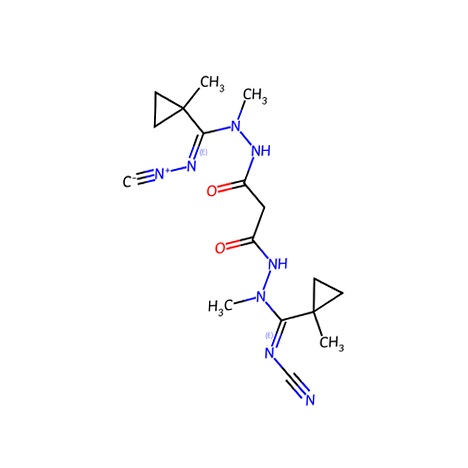 [C-]#[N+]/N=C(/N(C)NC(=O)CC(=O)NN(C)/C(=N/C#N)C1(C)CC1)C1(C)CC1